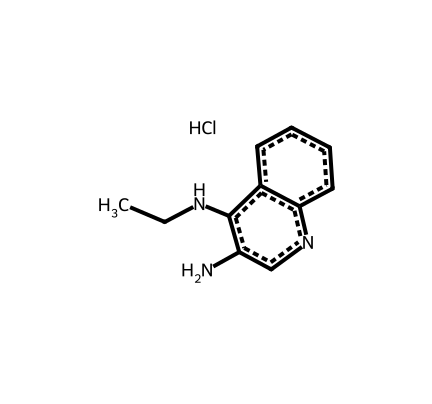 CCNc1c(N)cnc2ccccc12.Cl